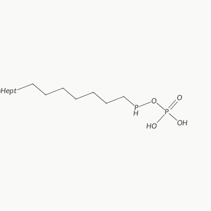 CCCCCCCCCCCCCCPOP(=O)(O)O